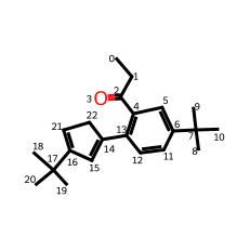 CCC(=O)c1cc(C(C)(C)C)ccc1C1=CC(C(C)(C)C)=CC1